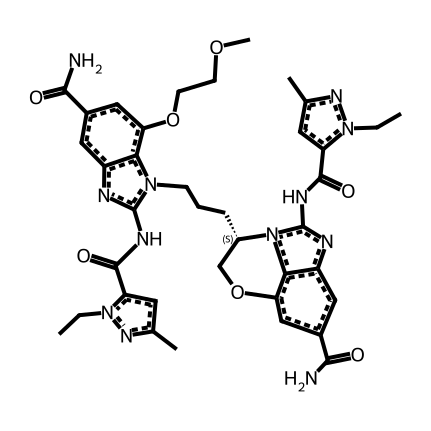 CCn1nc(C)cc1C(=O)Nc1nc2cc(C(N)=O)cc(OCCOC)c2n1CCC[C@H]1COc2cc(C(N)=O)cc3nc(NC(=O)c4cc(C)nn4CC)n1c23